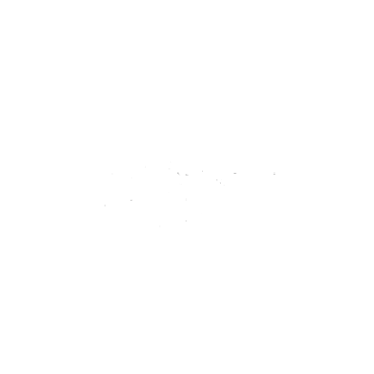 CC(C)(C)OC(=O)N1CCC2(COc3c2ccc(C(=O)O)c3CO)[C@@H](O)C1